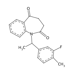 Cc1ccc(C(C)N2C(=O)CCC(=O)c3ccccc32)cc1F